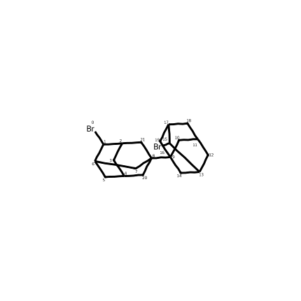 BrC1C2CC3CC1CC(C14CC5CC(C1)C(Br)C(C5)C4)(C3)C2